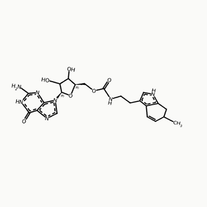 CC1C=Cc2c(CCNC(=O)OC[C@H]3O[C@@H](n4cnc5c(=O)[nH]c(N)nc54)C(O)C3O)c[nH]c2C1